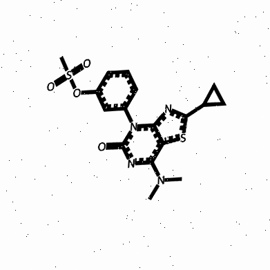 CN(C)c1nc(=O)n(-c2cccc(OS(C)(=O)=O)c2)c2nc(C3CC3)sc12